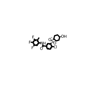 Cc1c(NC(=O)c2ccc(Cl)c(S(=O)(=O)[C@]3(C)CC[C@H](O)CC3)c2)cc(F)c(F)c1F